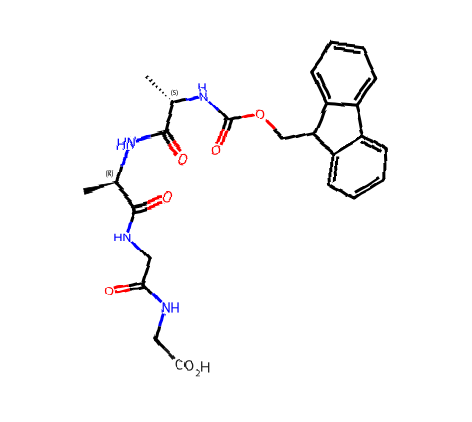 C[C@H](NC(=O)OCC1c2ccccc2-c2ccccc21)C(=O)N[C@H](C)C(=O)NCC(=O)NCC(=O)O